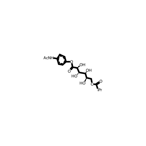 CC(=O)Nc1ccc(OC(=O)[C@@H](O)[C@@H](O)[C@H](O)[C@H](O)COC(=O)C(C)C)cc1